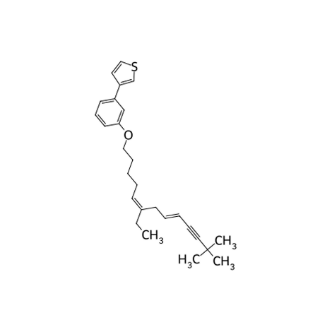 CC/C(=C/CCCCOc1cccc(-c2ccsc2)c1)C/C=C/C#CC(C)(C)C